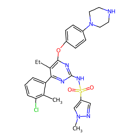 CCc1c(Oc2ccc(N3CCNCC3)cc2)nc(NS(=O)(=O)c2cnn(C)c2)nc1-c1cccc(Cl)c1C